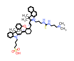 CN(C)CCCNC(=S)NCCC[N+]1=C(/C=C/C2=C(Oc3ccccc3)C(=C/C=C3/N(CCCCS(=O)(=O)O)c4ccccc4C3(C)C)/CCC2)C(C)(C)c2c1ccc1ccccc21